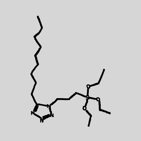 CCCCCCCCCc1nnnn1CCC[Si](OCC)(OCC)OCC